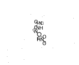 O=C(NC1CO1)c1ccc(N2CCc3cc(C(=O)N4CCCC4)[nH]c32)cc1F